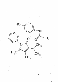 CC(=O)Nc1ccc(O)cc1.Cc1c(C(C)C)c(=O)n(-c2ccccc2)n1C